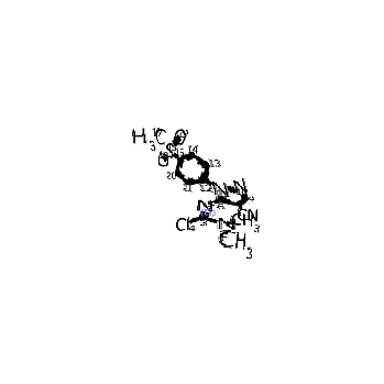 CN(C)/C(Cl)=N\c1c(C#N)cnn1-c1ccc(S(C)(=O)=O)cc1